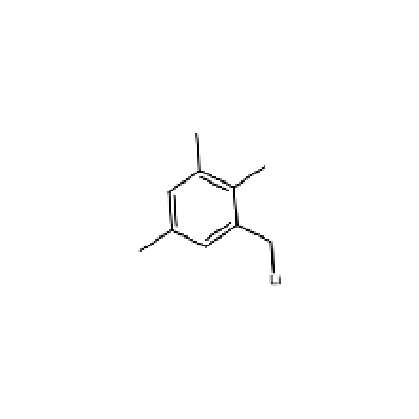 [Li][CH2]c1cc(C)cc(C)c1C